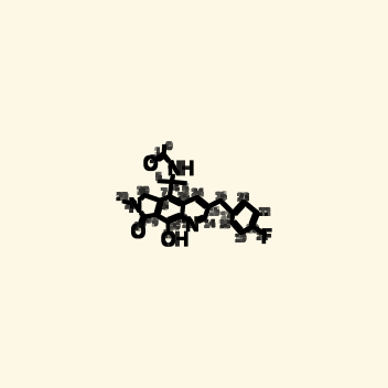 CC(=O)NC(C)(C)c1c2c(c(O)c3ncc(Cc4ccc(F)cc4)cc13)C(=O)N(C)C2